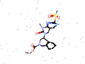 CN1C(=O)N(C2CN(C(=O)OC(C)(C)C)Cc3ccccc32)Cc2cnc(S(C)(=O)=O)nc21